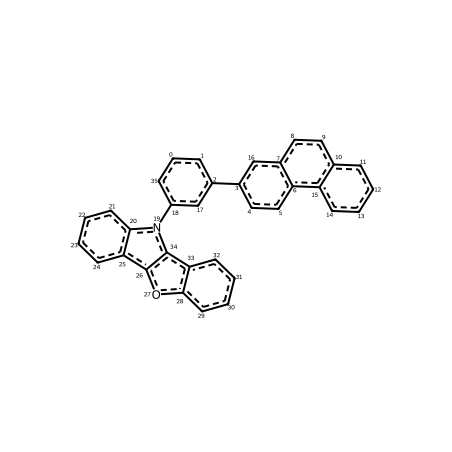 c1cc(-c2ccc3c(ccc4ccccc43)c2)cc(-n2c3ccccc3c3oc4ccccc4c32)c1